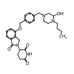 CCCCN1CCN(Cc2ccc(COc3cccc4c3CN(C3CCC(=O)NC3=O)C4=O)cc2)CC1O